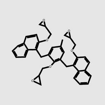 Cc1cc(Cc2c(OCC3CO3)ccc3ccccc23)c(OCC2CO2)c(Cc2c(OCC3CO3)ccc3ccccc23)c1